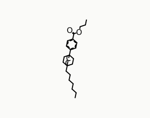 CCCCCCCC12CCC(c3ccc(C(=O)OCCC)cc3)(CC1)CC2